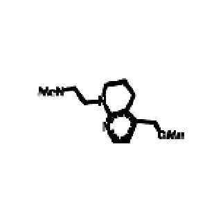 CNCCN1CCCc2c(COC)ccnc21